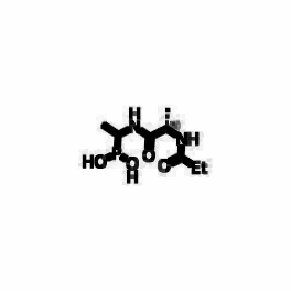 CCC(=O)N[C@@H](C)C(=O)NC(C)P(O)O